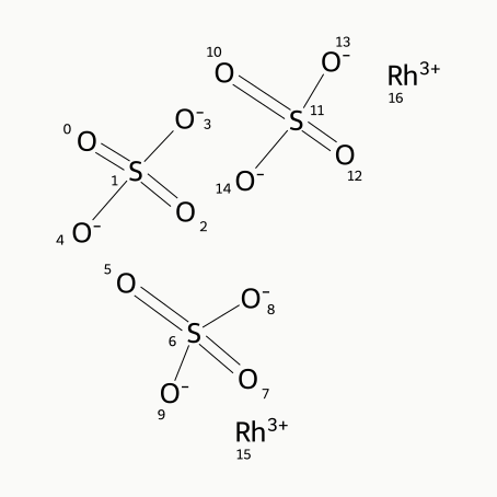 O=S(=O)([O-])[O-].O=S(=O)([O-])[O-].O=S(=O)([O-])[O-].[Rh+3].[Rh+3]